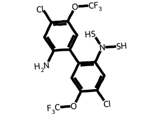 Nc1cc(Cl)c(OC(F)(F)F)cc1-c1cc(OC(F)(F)F)c(Cl)cc1N(S)S